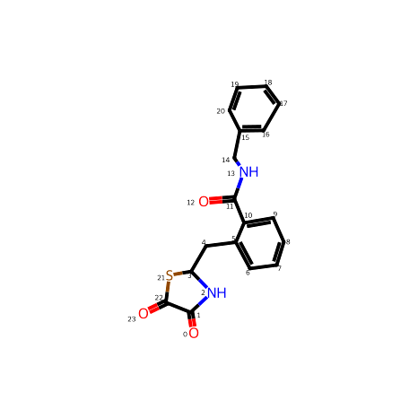 O=C1NC(Cc2ccccc2C(=O)NCc2ccccc2)SC1=O